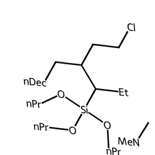 CCCCCCCCCCCC(CCCl)C(CC)[Si](OCCC)(OCCC)OCCC.CNC